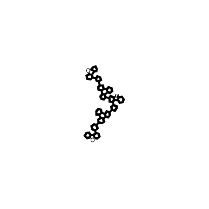 c1cc(-c2ccc3c4ccc(-c5cccc(-c6cc(-c7cccc8c9ccc(-c%10cccc(-c%11cccc%12oc%13ccccc%13c%11%12)c%10)cc9c9ccccc9c78)cc7oc8ccccc8c67)c5)cc4c4ccccc4c3c2)cc(-c2cccc3oc4ccccc4c23)c1